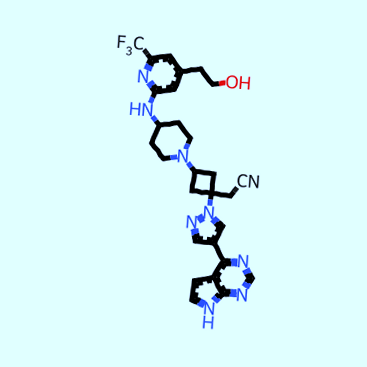 N#CCC1(n2cc(-c3ncnc4[nH]ccc34)cn2)CC(N2CCC(Nc3cc(CCO)cc(C(F)(F)F)n3)CC2)C1